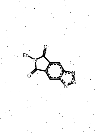 CCN1C(=O)c2cc3nsnc3cc2C1=O